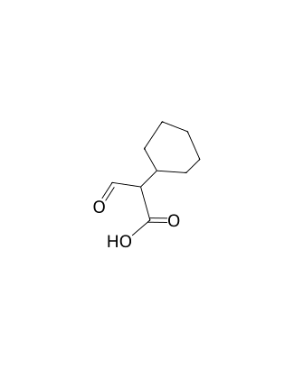 O=CC(C(=O)O)C1CCCCC1